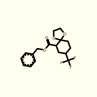 O=C(OCc1ccccc1)C1CC(C(F)(F)F)CCC12OCCO2